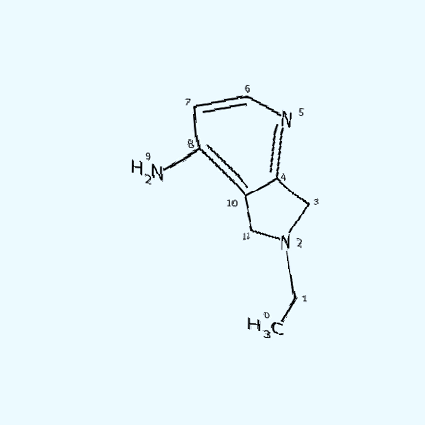 CCN1Cc2nccc(N)c2C1